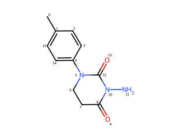 Cc1ccc(N2CCC(=O)N(N)C2=O)cc1